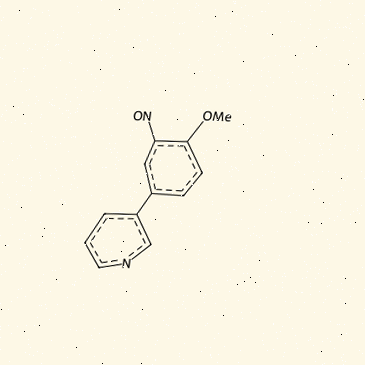 COc1ccc(-c2cccnc2)cc1N=O